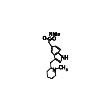 CNS(=O)(=O)Cc1ccc2[nH]cc(CC3CCCCN3C)c2c1